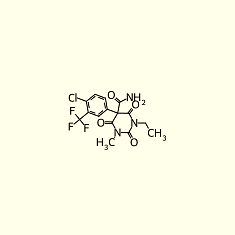 CCN1C(=O)N(C)C(=O)C(C(N)=O)(c2ccc(Cl)c(C(F)(F)F)c2)C1=O